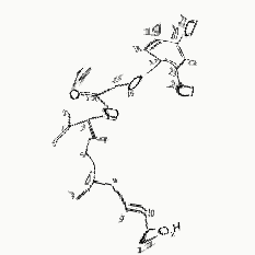 C=C(C)C(CCC(C)CC=CC(=O)O)OC(=O)COc1ccc(Cl)cc1Cl